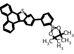 CC1(C)OB(c2cccc(-c3ccc4c(c3)sc3c5ccccc5c5ccccc5c43)c2)OC1(C)C